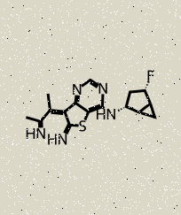 CC(=N)/C(C)=C1\C(=N)Sc2c(N[C@@H]3C[C@H](F)C4CC43)ncnc21